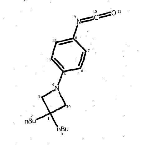 CCCCC1(CCCC)CN(c2ccc(N=C=O)cc2)C1